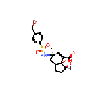 C[C@]1(NS(=O)(=O)c2ccc(CBr)cc2)C=C2C(=O)O[C@@H]3CCC(C1)[C@]23O